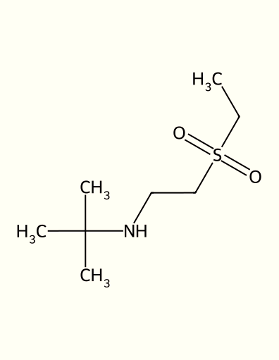 CCS(=O)(=O)CCNC(C)(C)C